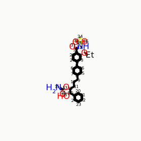 CCOc1cc(-c2ccc(CCCC(OC(N)=O)[C@H](O)c3ccccc3)cc2)ccc1C(=O)NS(C)(=O)=O